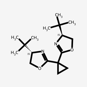 CC(C)(C)[C@H]1COC(C2(C3=N[C@@H](C(C)(C)C)CO3)CC2)=N1